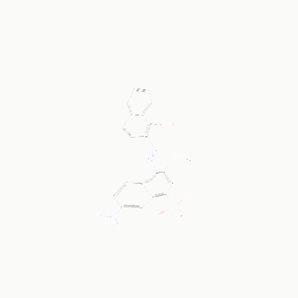 O=[N+]([O-])c1ccc2c(N=Nc3ccc4ccccc4c3O)c(O)cc(S(=O)(=O)O)c2c1.[Na+]